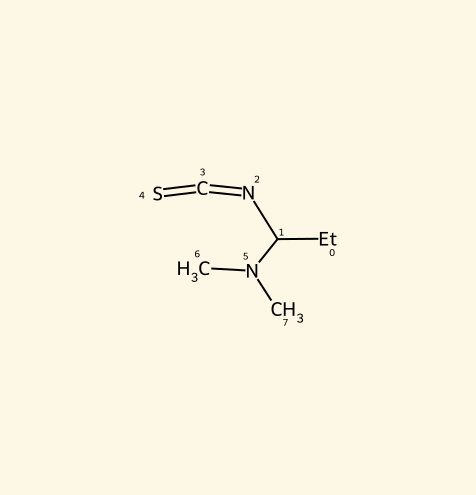 CCC(N=C=S)N(C)C